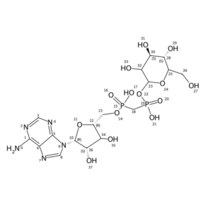 Nc1ncnc2c1ncn2[C@@H]1O[C@H](COP(=O)(O)CP(=O)(O)OC2OC(CO)[C@@H](O)[C@H](O)C2O)C(O)[C@@H]1O